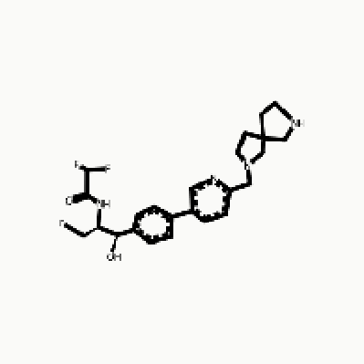 O=C(N[C@H](CF)[C@H](O)c1ccc(-c2ccc(CN3CCC4(CCNC4)C3)nc2)cc1)C(F)F